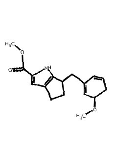 COC(=O)c1cc2c([nH]1)C(CC1=CC(OC)CC=C1)CC2